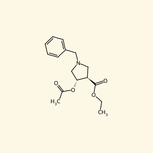 CCOC(=O)[C@@H]1CN(Cc2ccccc2)C[C@H]1OC(C)=O